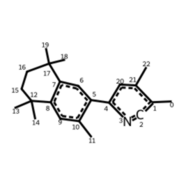 Cc1cnc(-c2cc3c(cc2C)C(C)(C)CCC3(C)C)cc1C